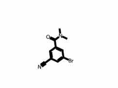 CN(C)C(=O)c1cc(Br)cc(C#N)c1